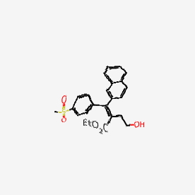 CCOC(=O)/C(CCO)=C(\c1ccc(S(C)(=O)=O)cc1)c1ccc2ccccc2c1